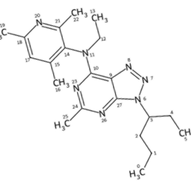 CCCC(CC)n1nnc2c(N(CC)c3c(C)cc(C)nc3C)nc(C)nc21